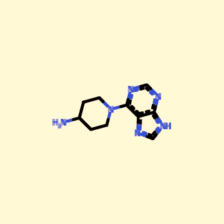 NC1CCN(c2ncnc3[nH]cnc23)CC1